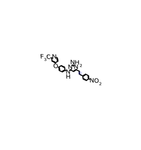 Nc1nc(/C=C/c2ccc([N+](=O)[O-])cc2)cc(Nc2ccc(Oc3ccnc(C(F)(F)F)c3)cc2)n1